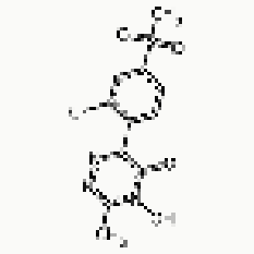 Cc1nnc(-c2ccc(S(C)(=O)=O)cc2Cl)c(=O)n1O